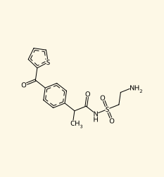 CC(C(=O)NS(=O)(=O)CCN)c1ccc(C(=O)c2cccs2)cc1